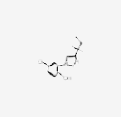 CCC(C)(C)c1cn(-c2cc(Cl)ccc2O)nn1